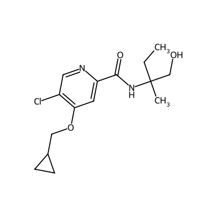 CCC(C)(CO)NC(=O)c1cc(OCC2CC2)c(Cl)cn1